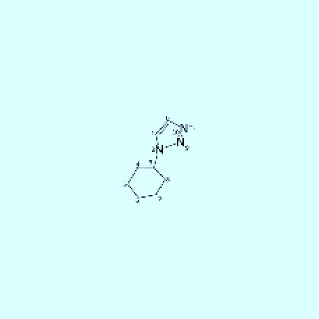 C1=CN(C2CCCCC2)N=[N+]1